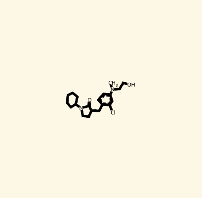 CN(CCO)c1ccc(CC2CCN(C3CCCCC3)C2=O)c(Cl)c1